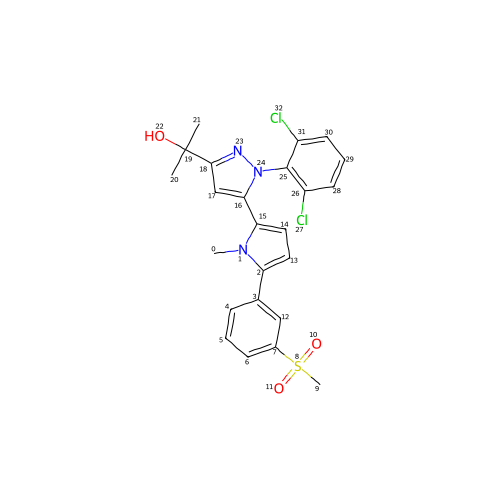 Cn1c(-c2cccc(S(C)(=O)=O)c2)ccc1-c1cc(C(C)(C)O)nn1-c1c(Cl)cccc1Cl